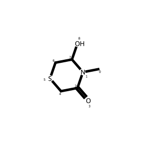 CN1C(=O)CSCC1O